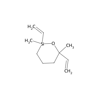 C=CC1(C)CCC[Si](C)(C=C)O1